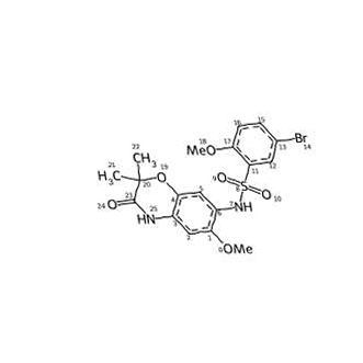 COc1cc2c(cc1NS(=O)(=O)c1cc(Br)ccc1OC)OC(C)(C)C(=O)N2